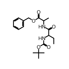 CCC(NC(=O)OC(C)(C)C)C(=O)NC(C)C(=O)OCc1ccccc1